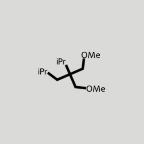 COCC(COC)(CC(C)C)C(C)C